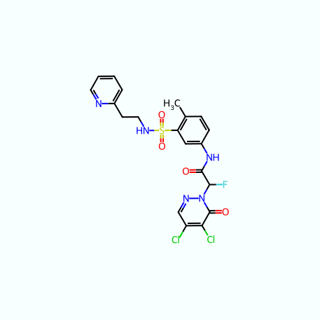 Cc1ccc(NC(=O)C(F)n2ncc(Cl)c(Cl)c2=O)cc1S(=O)(=O)NCCc1ccccn1